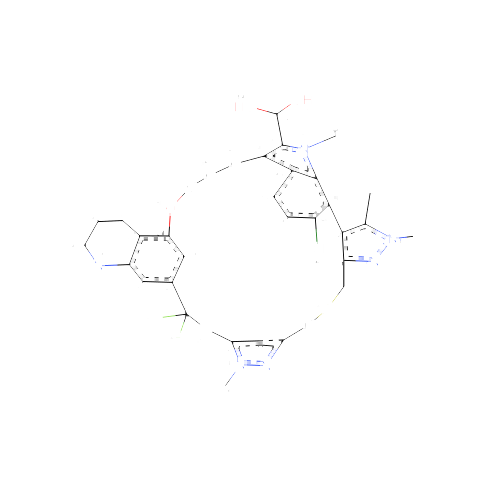 Cc1c2c(nn1C)CSCc1cc(n(C)n1)CC(F)(F)c1cc3c(c(c1)OCCCc1c(C(O)O)n(C)c4c-2c(Cl)ccc14)CCCN3